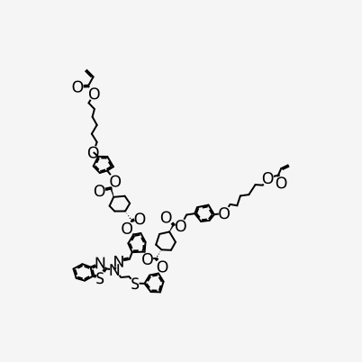 C=CC(=O)OCCCCCCOc1ccc(COC(=O)[C@H]2CC[C@H](C(=O)Oc3ccc(OC(=O)[C@H]4CC[C@H](C(=O)Oc5ccc(OCCCCCCOC(=O)C=C)cc5)CC4)cc3/C=N/N(CCSc3ccccc3)c3nc4ccccc4s3)CC2)cc1